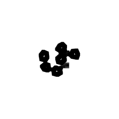 c1ccc(-c2cccc(-c3cccc(Nc4ccc5c6ccccc6n(-c6ccccc6)c5c4)c3)c2)cc1